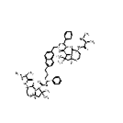 CN[C@@H](C)C(=O)N[C@H]1CCS[C@H]2CC(C)(C)[C@@H](C(=O)N[C@H](COCc3ccc4cc(COC[C@@H](NC(=O)[C@H]5N6C(=O)[C@@H](NC(=O)[C@H](C)NC)CCS[C@H]6CC5(C)C)c5ccccc5)ccc4c3)c3ccccc3)N2C1=O